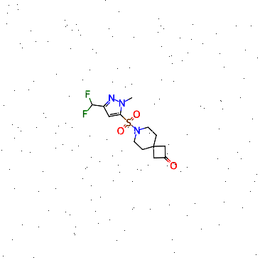 Cn1nc(C(F)F)cc1S(=O)(=O)N1CCC2(CC1)CC(=O)C2